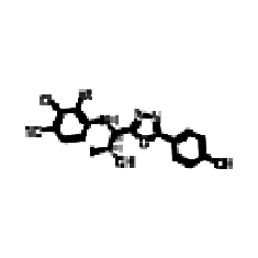 CCc1c(N[C@@H](c2nnc(-c3ccc(O)cc3)o2)[C@H](O)I)ccc(C#N)c1Cl